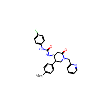 COc1ccc(C2CN(Cc3ccccn3)C(=O)C[C@@H]2NC(=O)Nc2ccc(F)cc2)cc1